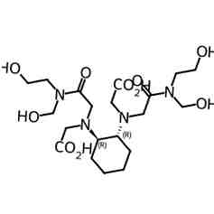 O=C(O)CN(CC(=O)N(CO)CCO)[C@@H]1CCCC[C@H]1N(CC(=O)O)CC(=O)N(CO)CCO